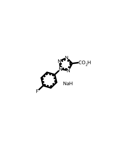 O=C(O)c1nnn(-c2ccc(F)cc2)n1.[NaH]